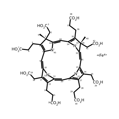 C[C@]1(CC(=O)O)C(CCC(=O)O)=C2/C=c3\[n-]/c(c(CCC(=O)O)c3CC(=O)O)=C\c3[n-]c(c(CC(=O)O)c3CCC(=O)O)/C=C3\[N-]C(=C(CCC(=O)O)[C@]3(C)CC(=O)O)/C=C/1[N-]2.[Fe+4]